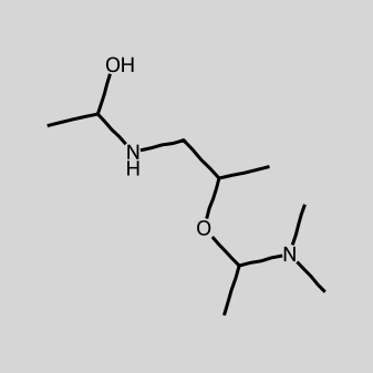 CC(O)NCC(C)OC(C)N(C)C